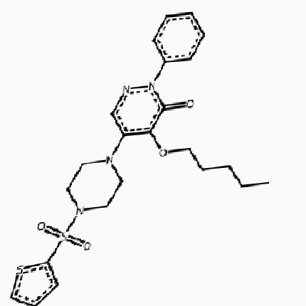 CCCCCOc1c(N2CCN(S(=O)(=O)c3cccs3)CC2)cnn(-c2ccccc2)c1=O